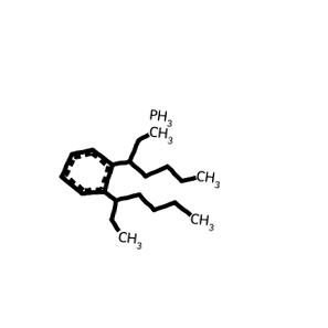 CCCCC(CC)c1ccccc1C(CC)CCCC.P